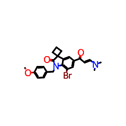 COc1ccc(CN2C(=O)C3(CCC3)c3cc(C(=O)/C=C/N(C)C)cc(Br)c32)cc1